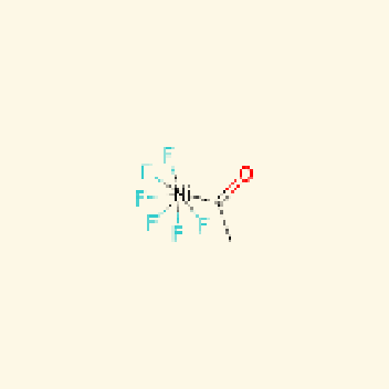 C[C](=O)[Ni]([F])([F])([F])([F])([F])[F]